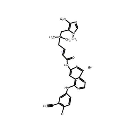 C#Cc1cc(Nc2ncnc3cnc(NC(=O)/C=C/C[N+](C)(C)Cc4c([N+](=O)[O-])ncn4C)cc23)ccc1Cl.[Br-]